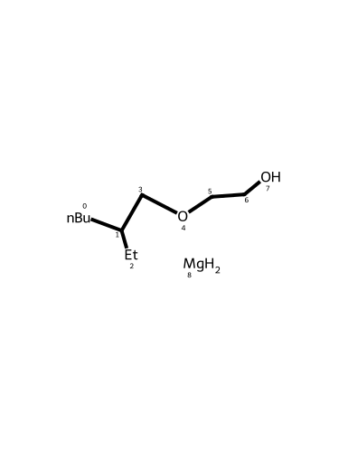 CCCCC(CC)COCCO.[MgH2]